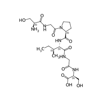 CC[C@H](C)[C@H](NC(=O)[C@@H]1CCCN1C(=O)CNC(=O)[C@@H](N)CO)C(=O)NCC(=O)N[C@@H](CO)C(=O)O